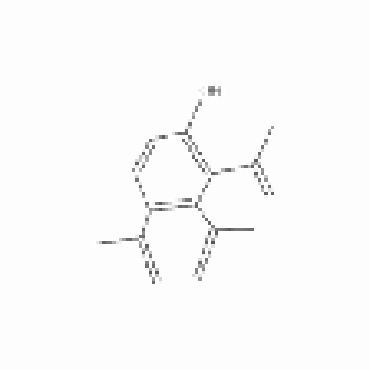 C=C(C)c1ccc(O)c(C(=C)C)c1C(=C)C